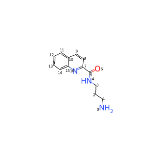 NCCCNC(=O)c1ccc2ccccc2n1